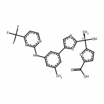 Cc1cc(Nc2nccc(C(F)(F)F)n2)cc(-c2cnc([C@](C)(O)c3ccc(C(=O)O)s3)s2)c1